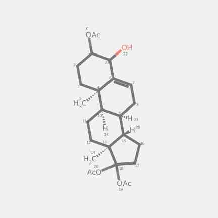 CC(=O)OC1CC[C@@]2(C)C(=CC[C@@H]3[C@H]2CC[C@@]2(C)[C@H]3CCC2(OC(C)=O)OC(C)=O)C1O